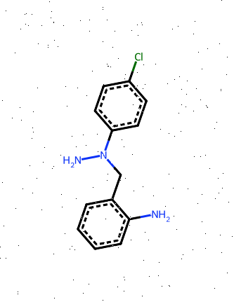 Nc1ccccc1CN(N)c1ccc(Cl)cc1